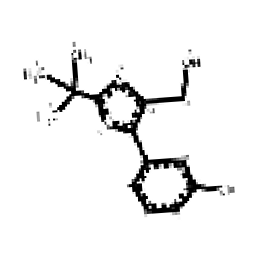 CC(C)(C)c1nc(-c2cccc(Cl)c2)c(CO)s1